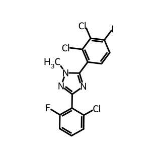 Cn1nc(-c2c(F)cccc2Cl)nc1-c1ccc(I)c(Cl)c1Cl